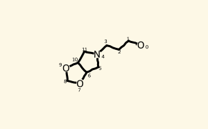 [O]CCCN1CC2OCOC2C1